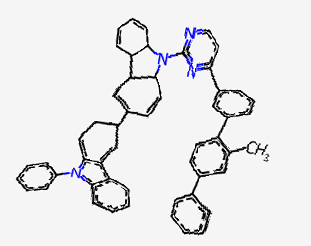 Cc1cc(-c2ccccc2)ccc1-c1cccc(-c2ccnc(N3C4C=CC=CC4C4C=C(C5C=c6c(n(-c7ccccc7)c7ccccc67)=CC5)C=CC43)n2)c1